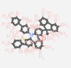 Bc1c(B)c(B)c(-c2c(B)c(B)c(N(c3c(B)c(B)c(B)c4c3sc3c(B)c(B)c(B)c(B)c34)c3c(B)c(B)c(C4(C(B)(B)B)c5c(B)c(B)c(B)c(B)c5-c5c(B)c(B)c(B)c(B)c54)c4oc5c(B)c(B)c(B)c(B)c5c34)c(B)c2B)c(B)c1B